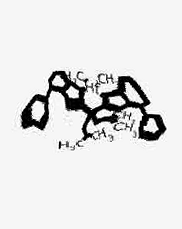 CC(C)CC1(CC(C)C)C2=Cc3c(-c4ccccc4)cccc3[CH]2[Hf]([CH3])([CH3])[CH]2C1=Cc1c(-c3ccccc3)cccc12